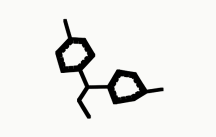 CCC(c1ccc(C)cc1)c1ccc(C)cc1